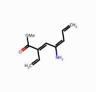 C=C/C=C(N)\C=C(/C=C)C(=O)OC